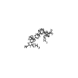 Cc1cc(C#N)cc([C@@H]2CCON2C(=O)C2CCN(c3cc(-n4cc(C5CC5)nc4C)ncn3)CC2)c1